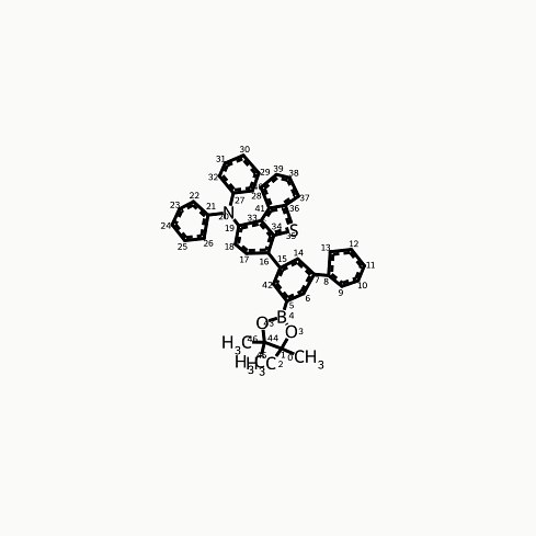 CC1(C)OB(c2cc(-c3ccccc3)cc(-c3ccc(N(c4ccccc4)c4ccccc4)c4c3sc3ccccc34)c2)OC1(C)C